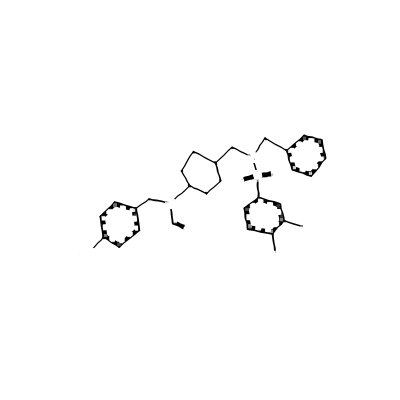 Cc1ccc(CN(C=O)C2CCC(CN(Cc3ccccc3)S(=O)(=O)c3ccc(C)c(F)c3)CC2)cc1